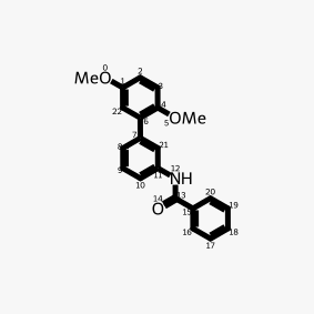 COc1ccc(OC)c(-c2[c]ccc(NC(=O)c3ccccc3)c2)c1